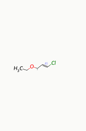 CCO[CH]/C=C/Cl